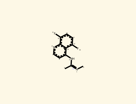 C/N=C(/C)Nc1ccnc2c(F)ccc(F)c12